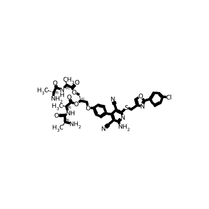 C[C@@H](N)C(=O)N[C@H](C)C(=O)OC[C@H](COc1ccc(-c2c(C#N)c(N)nc(SCc3coc(-c4ccc(Cl)cc4)n3)c2C#N)cc1)OC(=O)[C@@H](C)NC(=O)[C@@H](C)N